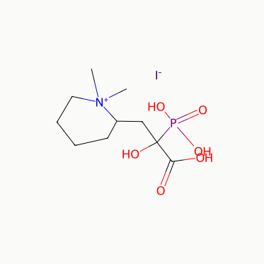 C[N+]1(C)CCCCC1CC(O)(C(=O)O)P(=O)(O)O.[I-]